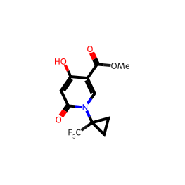 COC(=O)c1cn(C2(C(F)(F)F)CC2)c(=O)cc1O